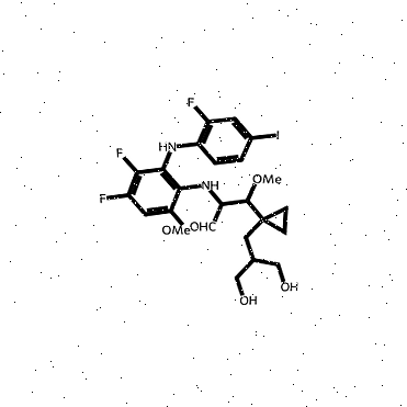 COc1cc(F)c(F)c(Nc2ccc(I)cc2F)c1NC(C=O)C(OC)C1(CC(CO)CO)CC1